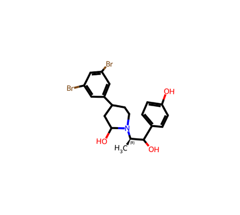 C[C@H](C(O)c1ccc(O)cc1)N1CCC(c2cc(Br)cc(Br)c2)CC1O